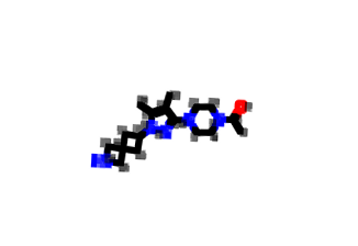 CC(=O)N1CCN(c2nn(C3CC4(CNC4)C3)c(C)c2C)CC1